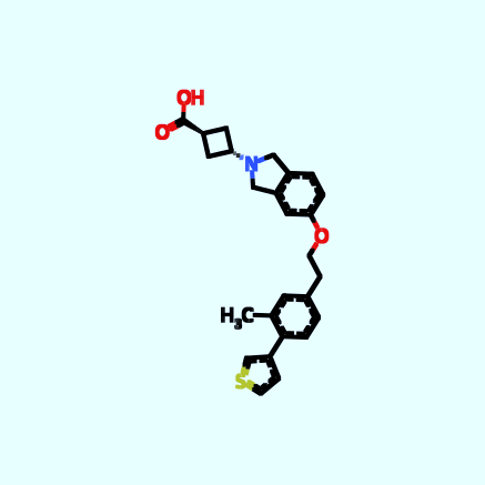 Cc1cc(CCOc2ccc3c(c2)CN([C@H]2C[C@H](C(=O)O)C2)C3)ccc1-c1ccsc1